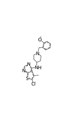 COc1ccccc1CN1CCC(Nc2ncnc3sc(Cl)c(C)c23)CC1